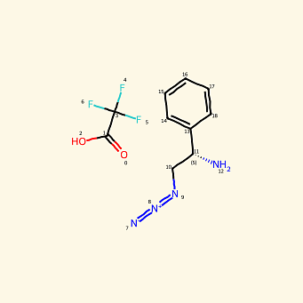 O=C(O)C(F)(F)F.[N-]=[N+]=NC[C@@H](N)c1ccccc1